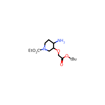 CCOC(=O)N1CCC(N)C(OCC(=O)OC(C)(C)C)C1